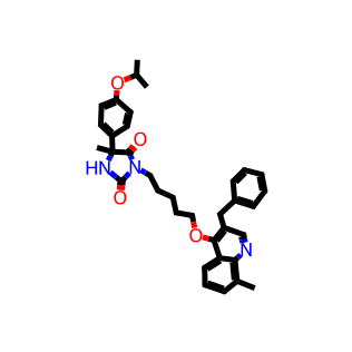 Cc1cccc2c(OCCCCCN3C(=O)NC(C)(c4ccc(OC(C)C)cc4)C3=O)c(Cc3ccccc3)cnc12